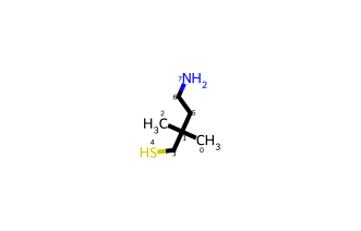 CC(C)(CS)CCN